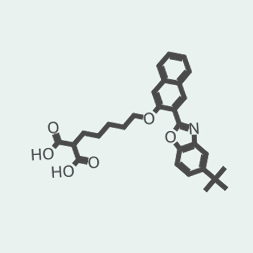 CC(C)(C)c1ccc2oc(-c3cc4ccccc4cc3OCCCCCC(C(=O)O)C(=O)O)nc2c1